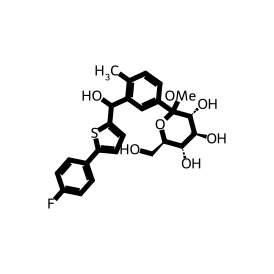 COC1(c2ccc(C)c(C(O)c3ccc(-c4ccc(F)cc4)s3)c2)O[C@H](CO)[C@@H](O)[C@H](O)[C@H]1O